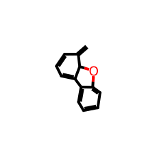 C=C1C=CC=C2c3ccccc3OC12